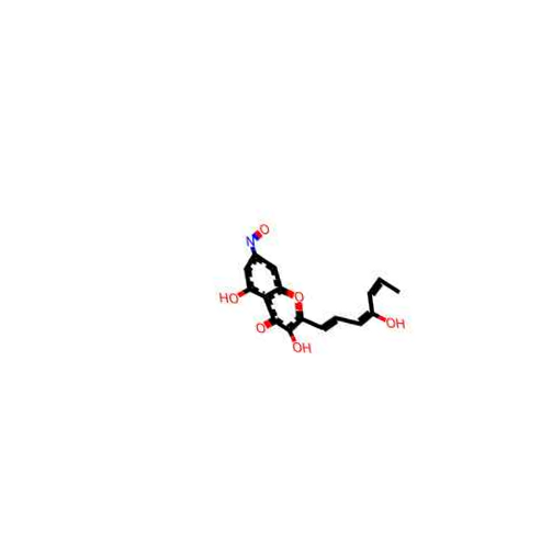 C\C=C/C(O)=C\C=C\c1oc2cc(N=O)cc(O)c2c(=O)c1O